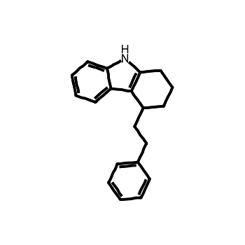 c1ccc(CCC2CCCc3[nH]c4ccccc4c32)cc1